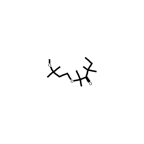 CCC(C)(C)C(=O)C(C)(C)OCCC(C)(C)OC